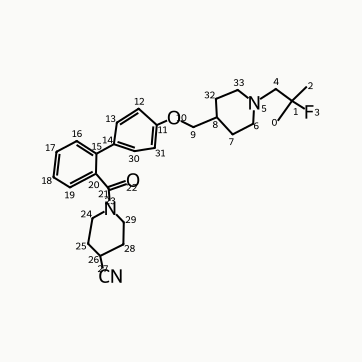 CC(C)(F)CN1CCC(COc2ccc(-c3ccccc3C(=O)N3CCC(C#N)CC3)cc2)CC1